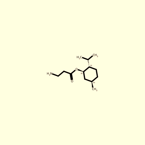 CC(C)[C@@H]1CC[C@@H](C)C[C@H]1OC(=O)CCN